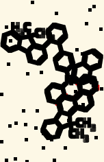 CC1(C)c2ccccc2-c2ccc(-c3ccccc3N(c3ccc(-c4ccccc4-c4cccc5c4C(C)(C)c4ccccc4-5)cc3)c3ccccc3-c3cccc4sc5c6ccccc6ccc5c34)cc21